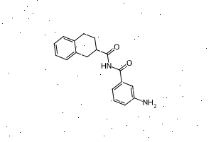 Nc1c[c]cc(C(=O)NC(=O)C2CCc3ccccc3C2)c1